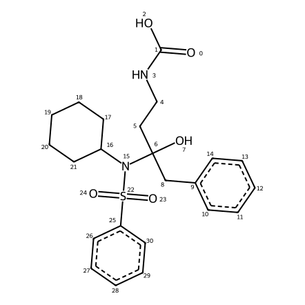 O=C(O)NCCC(O)(Cc1ccccc1)N(C1CCCCC1)S(=O)(=O)c1ccccc1